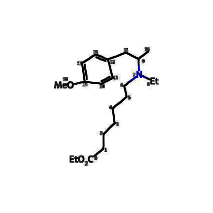 CCOC(=O)CCCCCCN(CC)C(C)Cc1ccc(OC)cc1